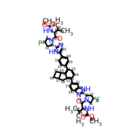 COC(=O)N[C@H](C(=O)N1C[C@@H](F)C[C@H]1c1ncc(-c2ccc(-c3ccc(-c4ccc5nc([C@@H]6C[C@H](F)CN6C(=O)[C@@H](NC(=O)OC)C(C)C)[nH]c5c4)c4c3C3CCC3C4)cc2)[nH]1)C(C)C